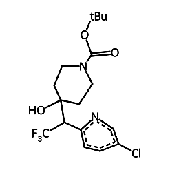 CC(C)(C)OC(=O)N1CCC(O)(C(c2ccc(Cl)cn2)C(F)(F)F)CC1